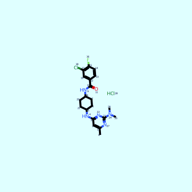 Cc1cc(NC2CCC(NC(=O)c3ccc(F)c(Cl)c3)CC2)nc(N(C)C)n1.Cl